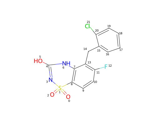 O=S1(=O)N=C(O)Nc2c1ccc(F)c2Cc1ccccc1Cl